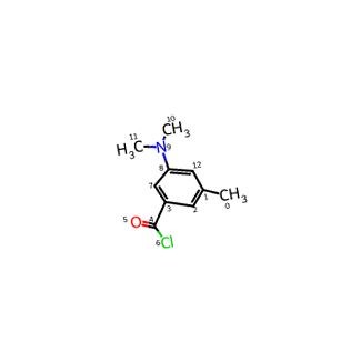 Cc1cc(C(=O)Cl)cc(N(C)C)c1